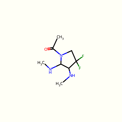 CNC1C(NC)C(F)(F)CN1C(C)=O